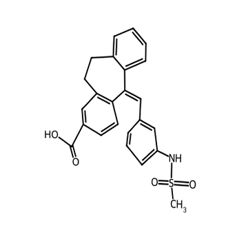 CS(=O)(=O)Nc1cccc(/C=C2/c3ccccc3CCc3cc(C(=O)O)ccc32)c1